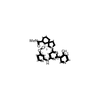 CNC(=O)C1CCCC2(CCN(c3cc(Nc4cc(OC(F)(F)F)ccn4)nc(-c4cnccc4C)n3)C2)C1